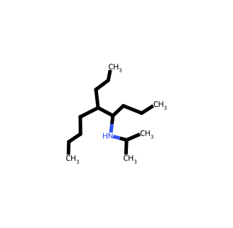 CCCCC(CCC)C(CCC)NC(C)C